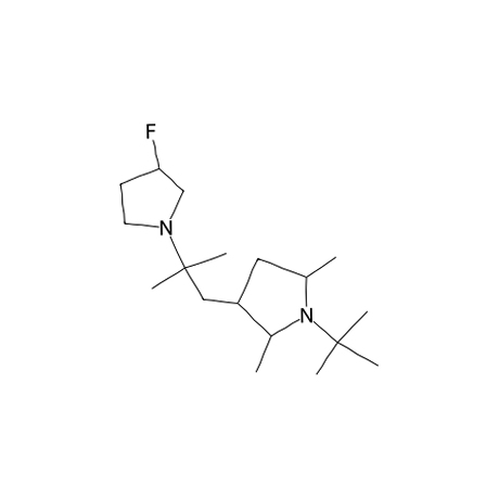 CC1CC(CC(C)(C)N2CCC(F)C2)C(C)N1C(C)(C)C